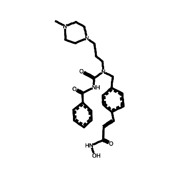 CN1CCN(CCCN(Cc2ccc(C=CC(=O)NO)cc2)C(=O)NC(=O)c2ccccc2)CC1